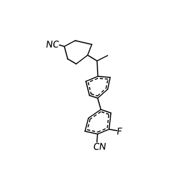 CC(c1ccc(-c2ccc(C#N)c(F)c2)cc1)C1CCC(C#N)CC1